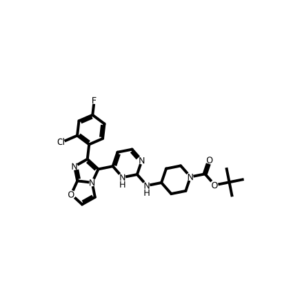 CC(C)(C)OC(=O)N1CCC(NC2N=CC=C(c3c(-c4ccc(F)cc4Cl)nc4occn34)N2)CC1